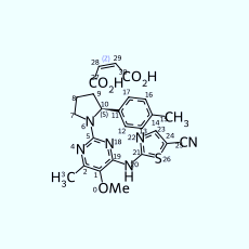 COc1c(C)nc(N2CCC[C@H]2c2ccc(C)cc2)nc1Nc1ncc(C#N)s1.O=C(O)/C=C\C(=O)O